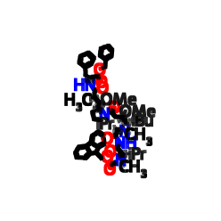 CC[C@H](C)[C@@H]([C@@H](CC(=O)N1CCC[C@H]1[C@H](OC)[C@@H](C)C(=O)N[C@@H](Cc1ccccc1)C(=O)OCc1ccccc1)OC)N(C)[C@H](C(=O)NC(=O)[C@H](C(C)C)N(C)C(=O)OCC1c2ccccc2-c2ccccc21)C(C)C